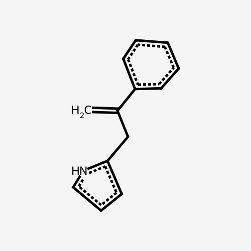 C=C(Cc1ccc[nH]1)c1ccccc1